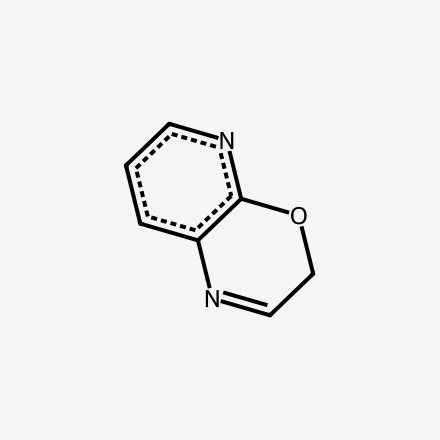 C1=Nc2cccnc2OC1